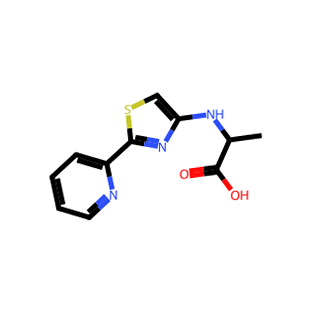 CC(Nc1csc(-c2ccccn2)n1)C(=O)O